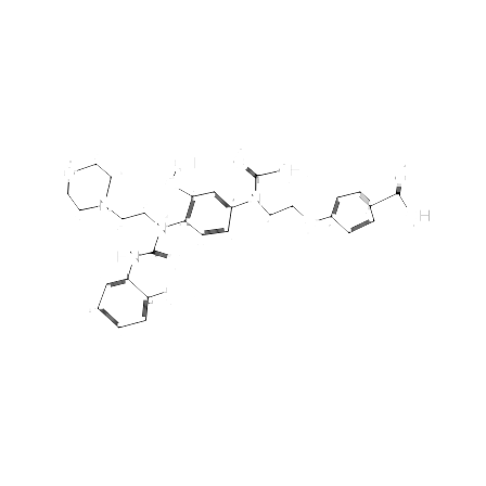 COc1cc(N(CCOc2ccc(C(=O)O)cc2)C(C)=O)ccc1N(CCN1CCOCC1)C(=O)Nc1ccccc1C